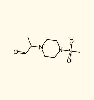 CC(C=O)N1CCN(S(C)(=O)=O)CC1